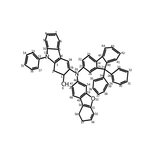 CC1Cc2c(c3ccccc3n2-c2ccccc2)C=C1N(c1ccc2c(c1)C(c1ccccc1)(c1ccccc1)c1ccccc1-2)c1ccc2c3c(oc2c1)C=CCC3